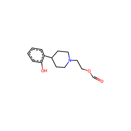 O=COCCN1CCC(c2ccccc2O)CC1